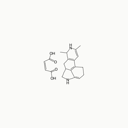 CC1=CC2=C(CC3CNC4=CCCC2=C43)C(C)N1.O=C(O)/C=C\C(=O)O